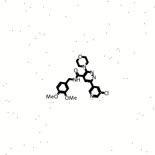 COc1ccc(CNC(=O)c2cc(-c3cncc(Cl)c3)nnc2N2CCOCC2)cc1OC